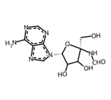 Nc1ncnc2c1ncn2[C@@H]1O[C@@](CO)(NC=O)C(O)C1O